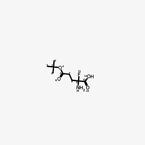 CC(C)(C)OC(=O)CCC(N)(F)C(=O)O